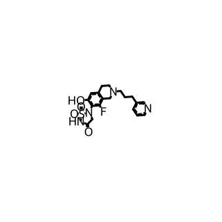 O=C1CN(c2c(O)cc3c(c2F)CN(CCCc2cccnc2)CC3)S(=O)(=O)N1